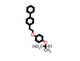 CC[C@@](C)(Oc1ccc(OCCc2ccc(-c3ccccc3)cc2)cc1)C(=O)O